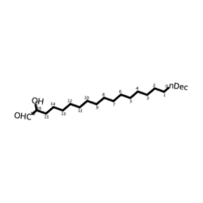 CCCCCCCCCCCCCCCCCCCCCCCCCC(O)C=O